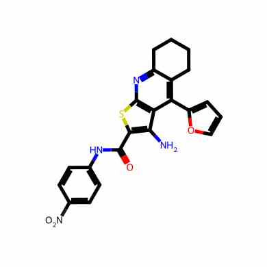 Nc1c(C(=O)Nc2ccc([N+](=O)[O-])cc2)sc2nc3c(c(-c4ccco4)c12)CCCC3